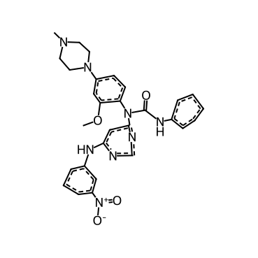 COc1cc(N2CCN(C)CC2)ccc1N(C(=O)Nc1ccccc1)c1cc(Nc2cccc([N+](=O)[O-])c2)ncn1